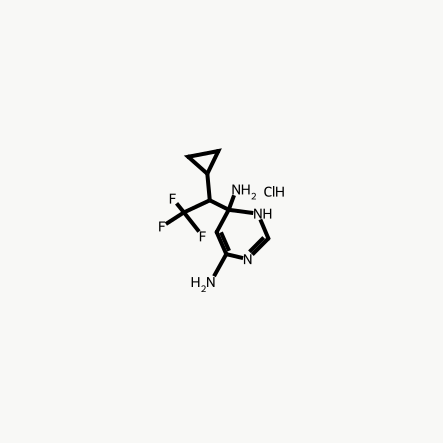 Cl.NC1=CC(N)(C(C2CC2)C(F)(F)F)NC=N1